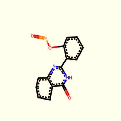 O=POc1ccccc1-c1nc2ccccc2c(=O)[nH]1